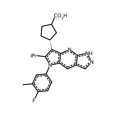 Cc1cc(-n2c(C(C)C)c([C@@H]3CCC(C(=O)O)C3)c3nc4[nH]ncc4cc32)ccc1F